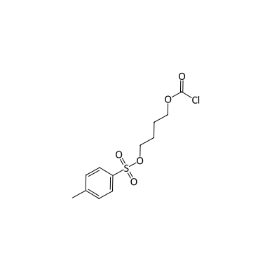 Cc1ccc(S(=O)(=O)OCCCCOC(=O)Cl)cc1